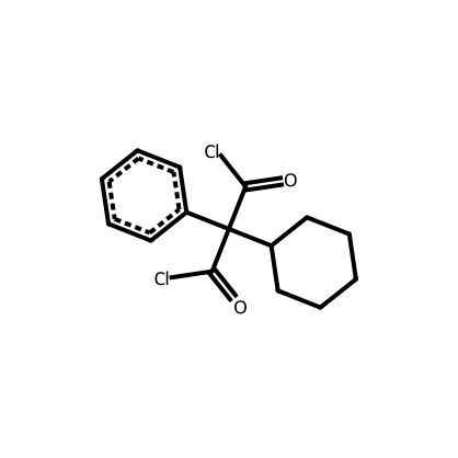 O=C(Cl)C(C(=O)Cl)(c1ccccc1)C1CCCCC1